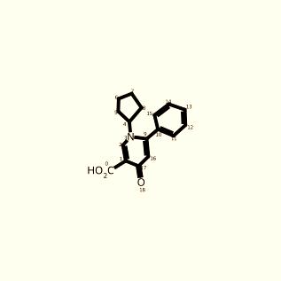 O=C(O)c1cn(C2CCCC2)c(-c2ccccc2)cc1=O